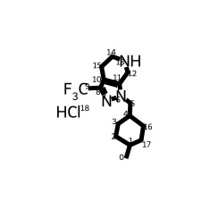 CC1CCC(Cn2nc(C(F)(F)F)c3c2CNCC3)CC1.Cl